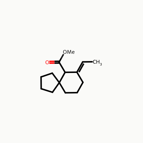 CC=C1CCCC2(CCCC2)C1C(=O)OC